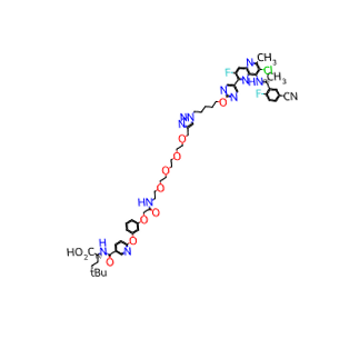 Cc1nc2cc(F)c(-c3cnc(OCCCCCn4cc(COCCOCCOCCOCCNC(=O)COc5cccc(Oc6ccc(C(=O)N[C@@H](CCC(C)(C)C)C(=O)O)cn6)c5)nn4)nc3)nc2c(N[C@H](C)c2cc(C#N)ccc2F)c1Cl